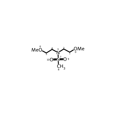 COCCN(CCOC)S(C)(=O)=O